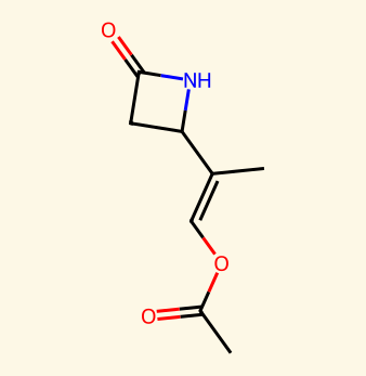 CC(=O)O/C=C(\C)C1CC(=O)N1